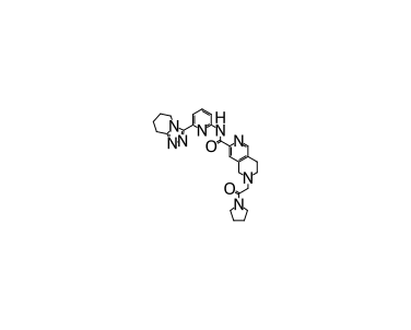 O=C(Nc1cccc(-c2nnc3n2CCCC3)n1)c1cc2c(cn1)CCN(CC(=O)N1CCCC1)C2